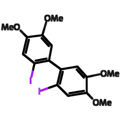 COc1cc(I)c(-c2cc(OC)c(OC)cc2I)cc1OC